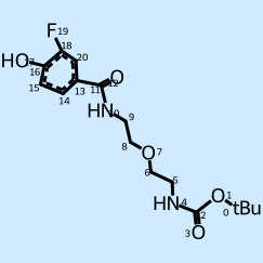 CC(C)(C)OC(=O)NCCOCCNC(=O)c1ccc(O)c(F)c1